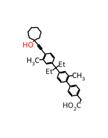 CCC(CC)(c1ccc(C#CC2(O)CCCCCC2)c(C)c1)c1ccc(-c2ccc(CC(=O)O)cc2)c(C)c1